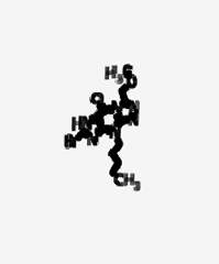 CCCCCn1c2nc(Br)[nH]c2c(=O)n2c(COC)nnc12